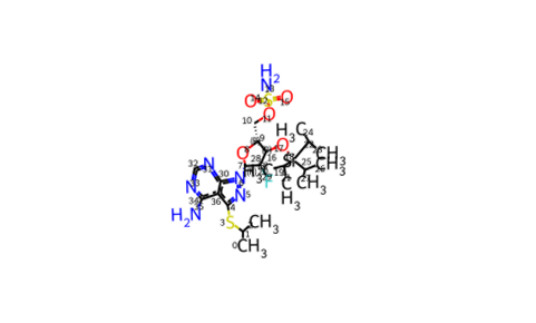 CC(C)Sc1nn([C@@H]2O[C@H](COS(N)(=O)=O)[C@@H](O[Si](C(C)C)(C(C)C)C(C)C)[C@H]2F)c2ncnc(N)c12